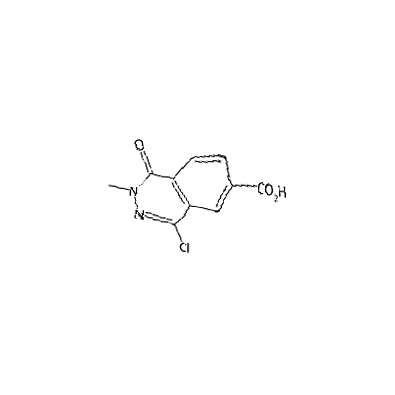 Cn1nc(Cl)c2cc(C(=O)O)ccc2c1=O